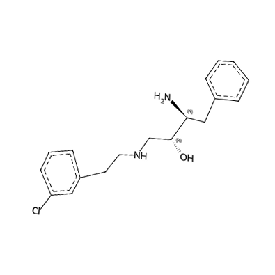 N[C@@H](Cc1ccccc1)[C@H](O)CNCCc1cccc(Cl)c1